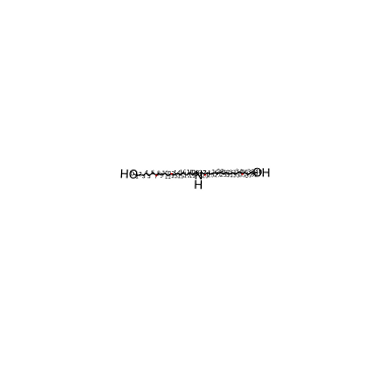 OCCCCCCCCCCCCCCCCCCCCNCCCCCCCCCCCCCCCCCCO